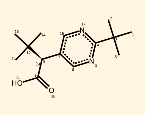 CC(C)(C)c1ncc([C@@H](C(=O)O)C(C)(C)C)cn1